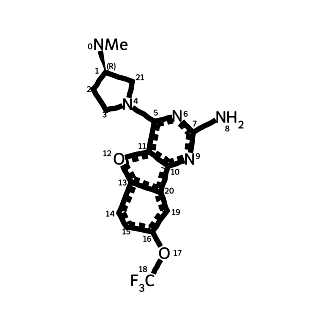 CN[C@@H]1CCN(c2nc(N)nc3c2oc2ccc(OC(F)(F)F)cc23)C1